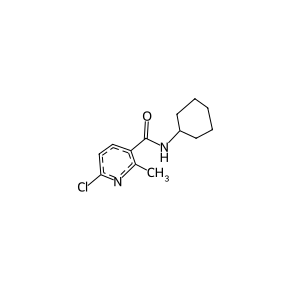 Cc1nc(Cl)ccc1C(=O)NC1CCCCC1